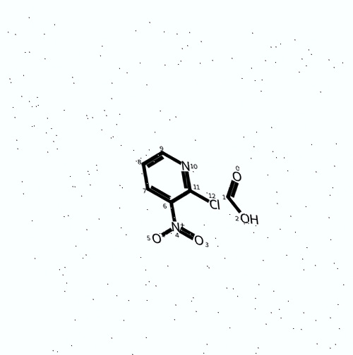 O=CO.O=[N+]([O-])c1cccnc1Cl